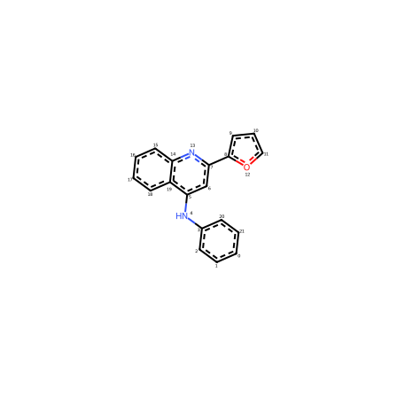 c1ccc(Nc2cc(-c3ccco3)nc3ccccc23)cc1